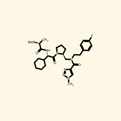 CN[C@@H](C)C(=O)N[C@H](C(=O)N1CCC[C@H]1CN(CCc1ccc(F)cc1)C(=O)c1cn(C)nn1)C1CCCCC1